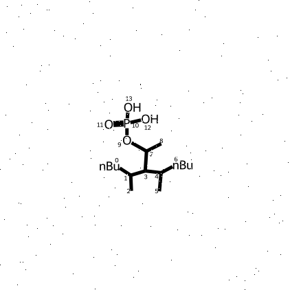 CCCCC(C)C(C(C)CCCC)C(C)OP(=O)(O)O